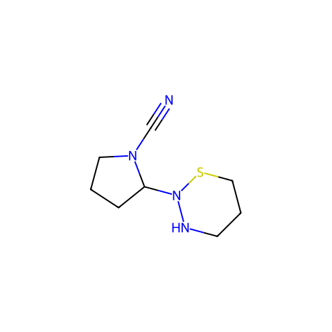 N#CN1CCCC1N1NCCCS1